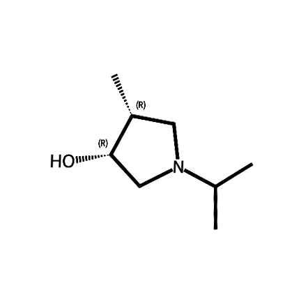 CC(C)N1C[C@@H](C)[C@@H](O)C1